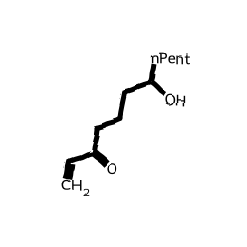 C=CC(=O)CCCC(O)CCCCC